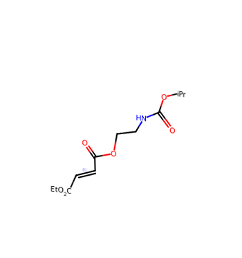 CCOC(=O)/C=C/C(=O)OCCNC(=O)OC(C)C